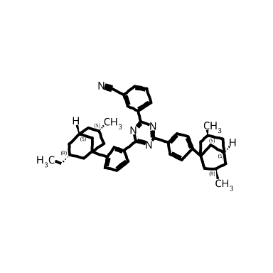 CC[C@@H]1C[C@@H]2C[C@H](C)CC(c3cccc(-c4nc(-c5ccc(C67C[C@H](C)C[C@H](C[C@H](C)C6)C7)cc5)nc(-c5cccc(C#N)c5)n4)c3)(C1)C2